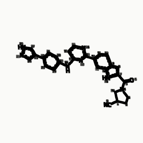 N#CC1CCN(C(=O)c2cc3ccc(-c4nccc(Nc5ccc(-c6cn[nH]c6)cc5)n4)cc3[nH]2)C1